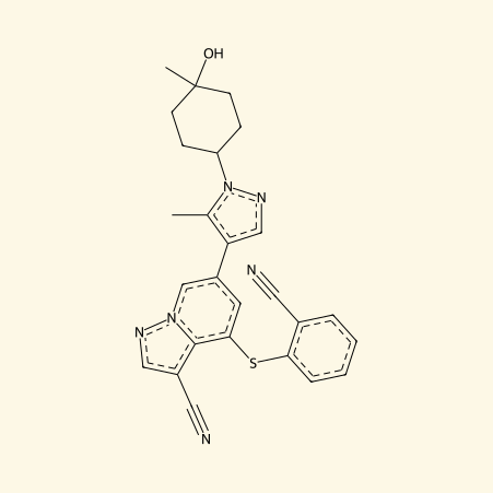 Cc1c(-c2cc(Sc3ccccc3C#N)c3c(C#N)cnn3c2)cnn1C1CCC(C)(O)CC1